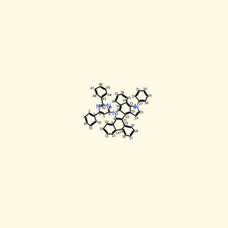 c1ccc(-c2cc(-n3c4c5ccccc5c5ccccc5c4c4c5ccn(-c6ccccc6)c5c5ccccc5c43)nc(-c3ccccc3)n2)cc1